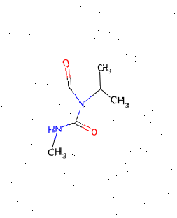 CNC(=O)N(C=O)C(C)C